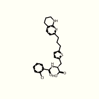 O=C(N[C@@H](Cc1ccc(CCCc2ccc3c(n2)NCCC3)s1)C(=O)O)c1ccccc1Cl